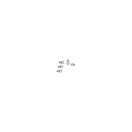 Cl.Cl.Cl.Cl.[Os]